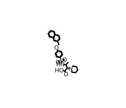 CC(NS(=O)(=O)c1ccc(OCc2ccc3ccccc3c2)cc1)C(C(=O)O)N1CCCCC1